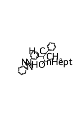 CCCCCCCC(O)C(c1cccc(-n2nc3ccccc3n2)c1)C(C)(C)c1ccccc1